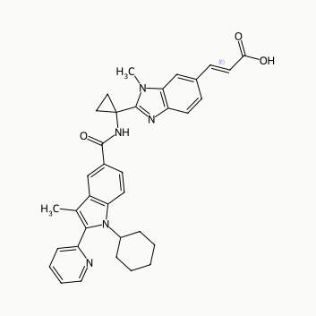 Cc1c(-c2ccccn2)n(C2CCCCC2)c2ccc(C(=O)NC3(c4nc5ccc(/C=C/C(=O)O)cc5n4C)CC3)cc12